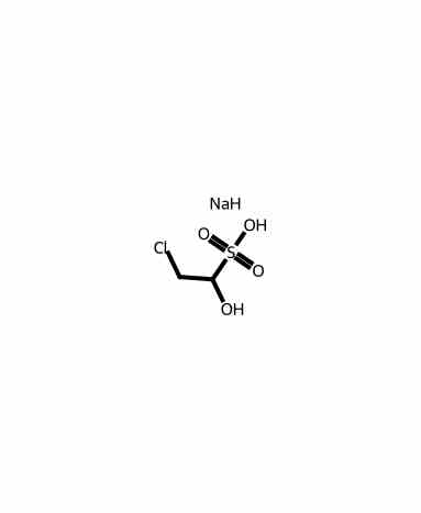 O=S(=O)(O)C(O)CCl.[NaH]